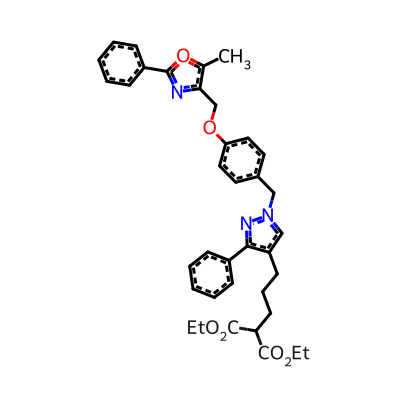 CCOC(=O)C(CCCc1cn(Cc2ccc(OCc3nc(-c4ccccc4)oc3C)cc2)nc1-c1ccccc1)C(=O)OCC